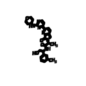 Cc1cccc(C(CO)NC(=O)C(C)N2Cc3ccc(-c4ccnc(NC5CCOCC5)n4)nc3C2=O)c1